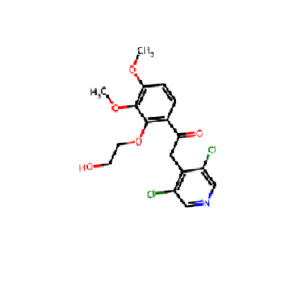 COc1ccc(C(=O)Cc2c(Cl)cncc2Cl)c(OCCO)c1OC